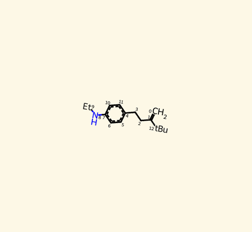 C=C(CCc1ccc(NCC)cc1)C(C)(C)C